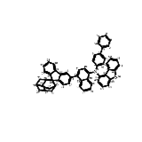 c1ccc(-c2ccc(N(c3ccc(-c4ccc5c(c4)-c4ccccc4C54C5CC6CC(C5)CC4C6)c4ccccc34)c3cccc4sc5ccccc5c34)cc2)cc1